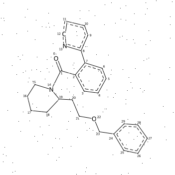 O=C(c1ccccc1-c1ccccn1)N1CCCCC1CCOCc1ccccc1